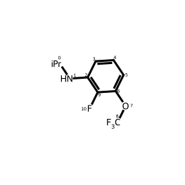 CC(C)Nc1cccc(OC(F)(F)F)c1F